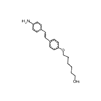 Nc1ccc(C=Cc2ccc(OCCCCCCO)cc2)cc1